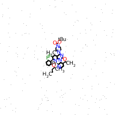 C=CCC(C)Oc1cccc(F)c1-c1nc2c(cc1F)c(N1CCN(C(=O)OC(C)(C)C)C[C@@H]1C)nc(=O)n2-c1c(C=C)ccnc1C(C)C